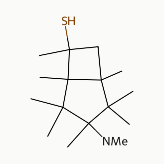 CNC1(C)C(C)(C)C2(C)CC(C)(S)C2(C)C1(C)C